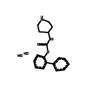 Cl.Cl.O=C(NC1CCNCC1)Oc1ccccc1-c1ccccc1